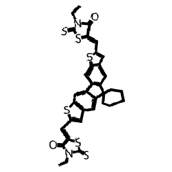 CCN1C(=O)/C(=C/c2cc3cc4c(cc3s2)-c2cc3sc(/C=C5\SC(=S)N(CC)C5=O)cc3cc2C42CCCCC2)SC1=S